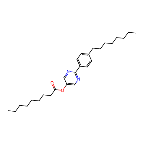 CCCCCCCCC(=O)Oc1cnc(-c2ccc(CCCCCCCC)cc2)nc1